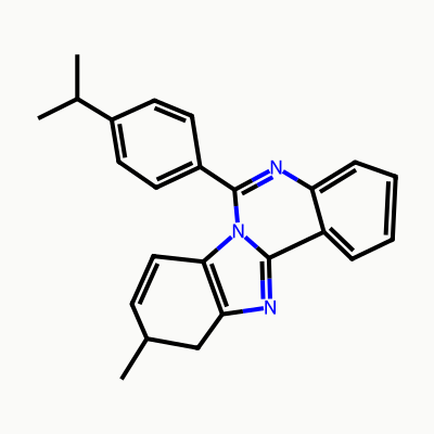 CC1C=Cc2c(nc3c4ccccc4nc(-c4ccc(C(C)C)cc4)n23)C1